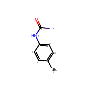 CC(C)(C)c1ccc(NC(=O)I)cc1